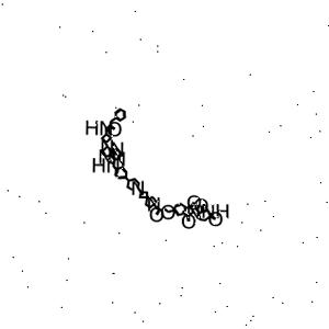 O=C1CC[C@H](N2C(=O)c3ccc(OCC(=O)N4CCC5(CC4)CC(N4CCC(c6ccc(Nc7ncnc8c7ncn8C7CC(NC(=O)Cc8ccccc8)C7)cc6)CC4)C5)cc3C2=O)C(=O)N1